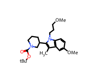 COCCCn1c(C2CCCN(C(=O)OC(C)(C)C)C2)c(C)c2cc(OC)ccc21